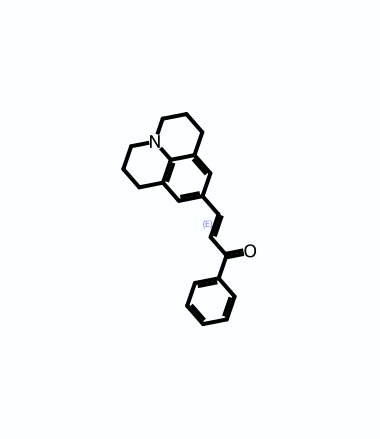 O=C(/C=C/c1cc2c3c(c1)CCCN3CCC2)c1ccccc1